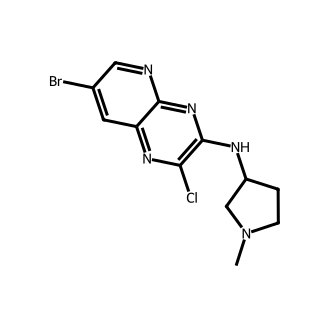 CN1CCC(Nc2nc3ncc(Br)cc3nc2Cl)C1